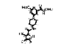 CONC(=O)c1cc(N2CCC(NC(=O)c3[nH]c(C)c(Cl)c3Cl)CC2)nc(OC)n1